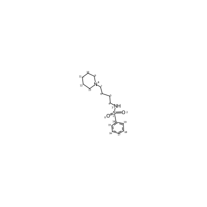 O=S(=O)(NCCCCN1CC[CH]CC1)c1ccccc1